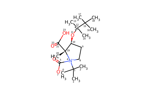 CC(C)(C)[N+]1(C(=O)[O-])CC[C@H](O[Si](C)(C)C(C)(C)C)[C@@]1(C)C(=O)O